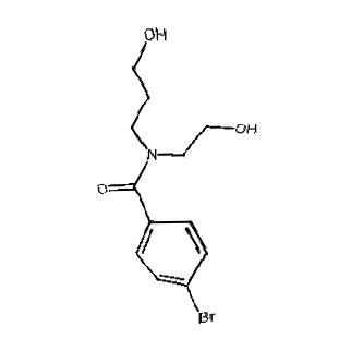 O=C(c1ccc(Br)cc1)N(CCO)CCCO